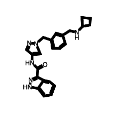 O=C(Nc1cnn(Cc2cccc(CNC3CCC3)c2)c1)c1n[nH]c2ccccc12